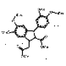 CCCCCCCCCCOc1ccc(C2c3cc(OCCCCCCCCCC)c(OC)cc3C(CC(=O)OC)C2C(=O)OC)cc1OC